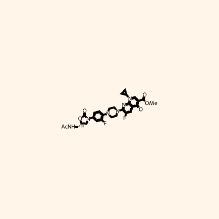 COC(=O)c1cn(C2CC2)c2nc(N3CCN(c4ccc(N5C[C@H](CNC(C)=O)OC5=O)cc4F)CC3)c(F)cc2c1=O